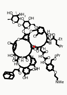 CCCOCc1cc(OCCNC)ccc1NC(=O)NC(=O)C[C@@H]1CC(=O)[C@H](NC(=O)[C@H](CC)CC(C)C)[C@H](O)c2ccc(c(Cl)c2)Oc2cc3cc(c2O[C@@H]2O[C@H](CO)[C@@H](O)[C@H](O)[C@H]2O[C@H]2C[C@](C)(N)[C@H](O)[C@H](C)O2)Oc2ccc(cc2Cl)[C@@H](O)[C@@H]2NC(=O)[C@H](CC(=O)[C@@H]3NC1=O)c1ccc(O)c(c1)-c1c(O)cc(O)cc1[C@@H](C(=O)CC1C3CC4CC(C3)CC1C4)NC2=O